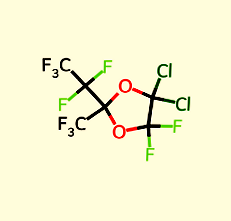 FC(F)(F)C(F)(F)C1(C(F)(F)F)OC(F)(F)C(Cl)(Cl)O1